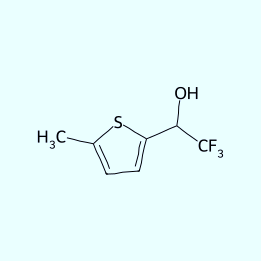 Cc1ccc(C(O)C(F)(F)F)s1